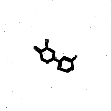 CCN1C[C@@H](c2cccc(F)c2)OCC1=O